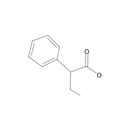 CCC(C([O])=O)c1ccccc1